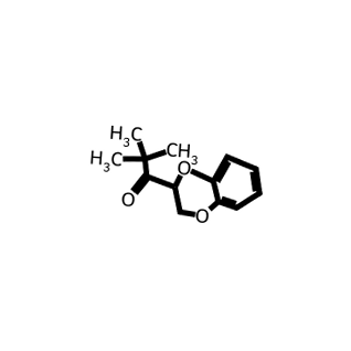 CC(C)(C)C(=O)C1COc2ccccc2O1